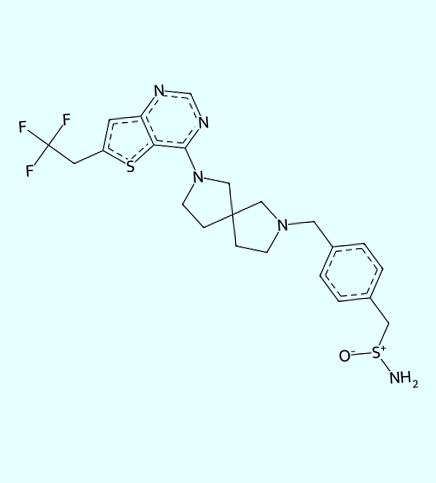 N[S+]([O-])Cc1ccc(CN2CCC3(CCN(c4ncnc5cc(CC(F)(F)F)sc45)C3)C2)cc1